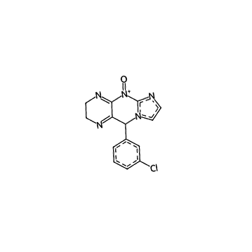 O=[N+]1C2=NCCN=C2C(c2cccc(Cl)c2)n2ccnc21